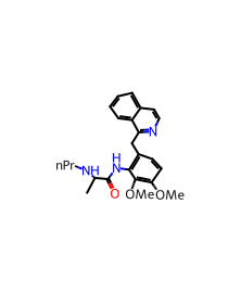 CCCNC(C)C(=O)Nc1c(Cc2nccc3ccccc23)ccc(OC)c1OC